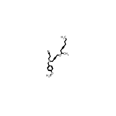 CCCCC#CCC(C)OCC#CCN(CCC#N)Cc1ccc(OC)cc1